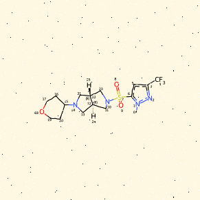 Cn1nc(C(F)(F)F)cc1S(=O)(=O)N1C[C@H]2CN(C3CCOCC3)C[C@@H]2C1